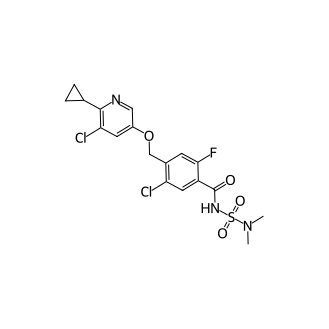 CN(C)S(=O)(=O)NC(=O)c1cc(Cl)c(COc2cnc(C3CC3)c(Cl)c2)cc1F